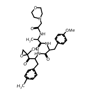 COc1ccc(CC(NC(=O)C(C)NC(=O)CN2CCOCC2)C(=O)NC(Cc2ccc(C)cc2)C(=O)C2(C)CO2)cc1